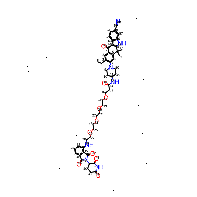 CCc1cc2c(cc1N1CCC(NC(=O)CCOCCOCCOCCOCCNc3cccc4c3C(=O)N(C3CCC(=O)NC3=O)C4=O)CC1)C(C)(C)c1[nH]c3cc(C#N)ccc3c1C2=O